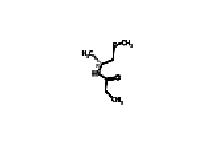 CCC(=O)N[C@H](C)CSC